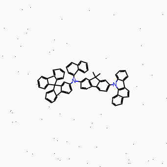 CC1(C)c2cc(N(c3ccc4c(c3)C3(c5ccccc5-c5ccccc53)c3ccccc3-4)c3cccc4ccccc34)ccc2-c2ccc(-n3c4ccccc4c4ccc5ccccc5c43)cc21